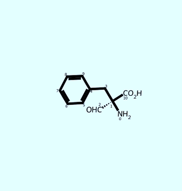 N[C@@](C=O)(Cc1ccccc1)C(=O)O